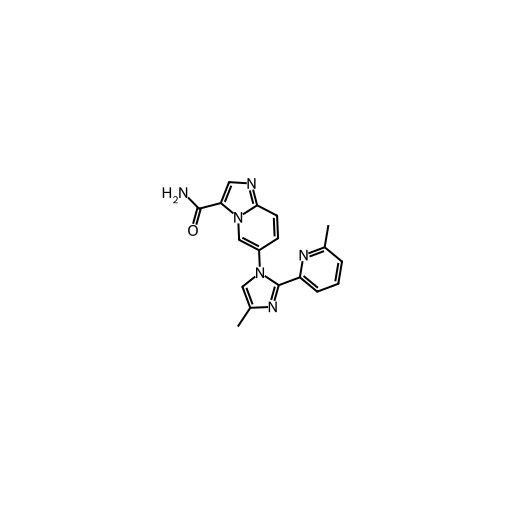 Cc1cccc(-c2nc(C)cn2-c2ccc3ncc(C(N)=O)n3c2)n1